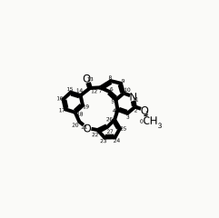 COc1cc2c3cc(ccc3n1)C(=O)c1cccc(c1)COc1cccc-2c1